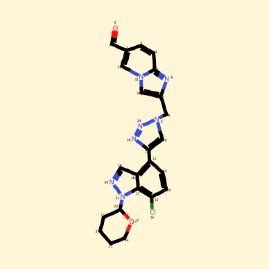 O=Cc1ccc2nc(Cn3cc(-c4ccc(Cl)c5c4cnn5C4CCCCO4)nn3)cn2c1